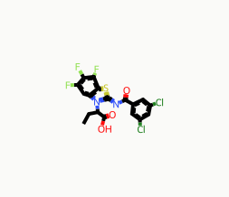 CCC(C(=O)O)n1c(=NC(=O)c2cc(Cl)cc(Cl)c2)sc2c(F)c(F)c(F)cc21